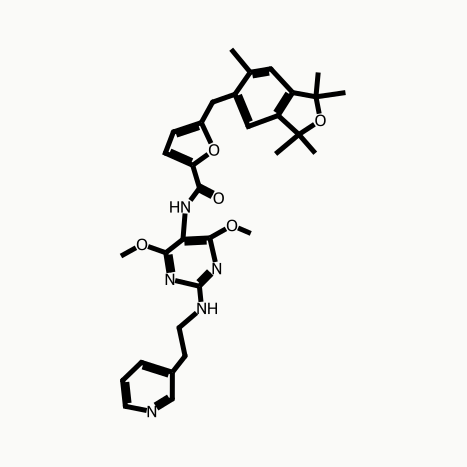 COc1nc(NCCc2cccnc2)nc(OC)c1NC(=O)c1ccc(Cc2cc3c(cc2C)C(C)(C)OC3(C)C)o1